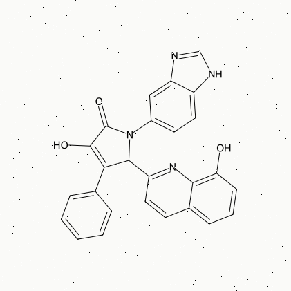 O=C1C(O)=C(c2ccccc2)C(c2ccc3cccc(O)c3n2)N1c1ccc2[nH]cnc2c1